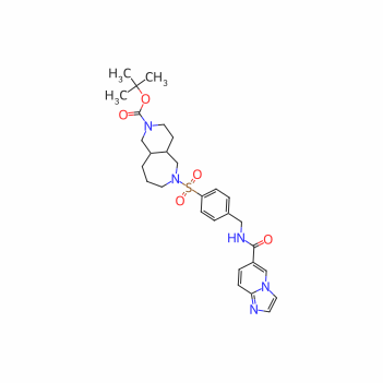 CC(C)(C)OC(=O)N1CCC2CN(S(=O)(=O)c3ccc(CNC(=O)c4ccc5nccn5c4)cc3)CCCC2C1